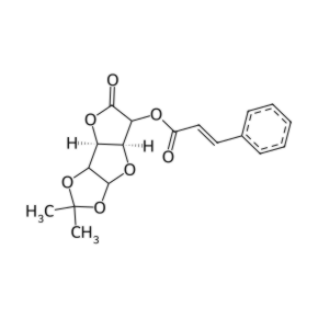 CC1(C)OC2O[C@@H]3C(OC(=O)/C=C/c4ccccc4)C(=O)O[C@@H]3C2O1